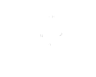 Cc1ccc([C@H](F)c2c(C(C)C)nc3c(c2C2CCCCC2)[C@@H](O)CC(C)(C)C3)cc1